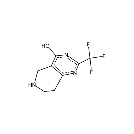 Oc1nc(C(F)(F)F)nc2c1CNCC2